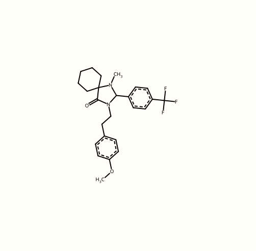 COc1ccc(CCN2C(=O)C3(CCCCC3)N(C)C2c2ccc(C(F)(F)F)cc2)cc1